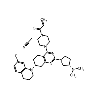 C=CC(=O)N1CCN(c2nc(N3CC[C@H](N(C)C)C3)nc3c2CC[C@@H](N2CCCc4ccc(F)cc42)C3)C[C@@H]1CC#N